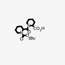 CC(C)(C)OC(=O)N1CCCCC1C(=O)N1CCCCC1C(=O)O